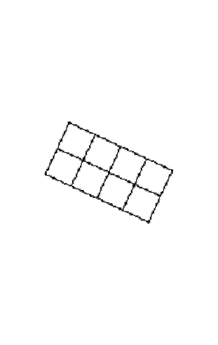 C1C2CC3C4C5CC6CC7C8C1C23C84C675